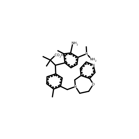 Cc1ccc(C(c2ccc(N(C)N)c(N)c2C)C(C)(C)C(=O)O)cc1CN1CCOc2cnccc2C1